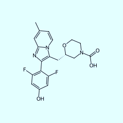 Cc1ccn2c(C[C@H]3CN(C(=O)O)CCO3)c(-c3c(F)cc(O)cc3F)nc2c1